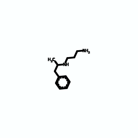 CC(Cc1ccccc1)NCCCN